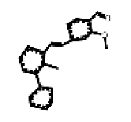 COc1cc(/C=C/c2cccc(-c3ccccc3)c2C)ccc1C=O